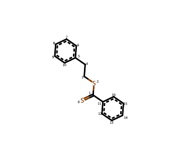 S=C(SCCc1ccccc1)c1ccccc1